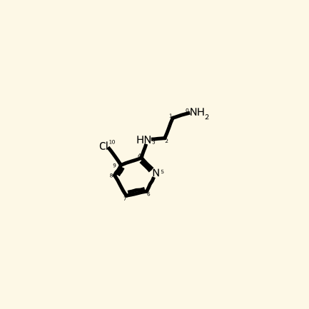 NCCNc1ncccc1Cl